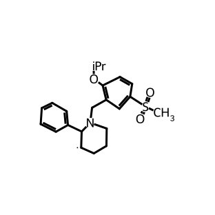 CC(C)Oc1ccc(S(C)(=O)=O)cc1CN1CCC[CH]C1c1ccccc1